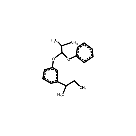 CCC(C)c1cccc(OC(Oc2ccccc2)C(C)C)c1